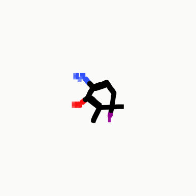 CC1=C(O)C(N)=CCC1(C)I